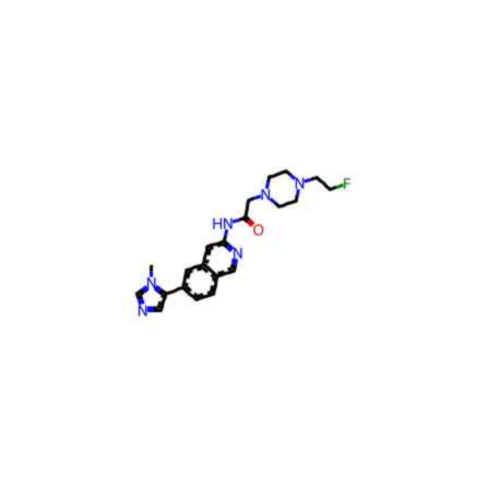 Cn1cncc1-c1ccc2cnc(NC(=O)CN3CCN(CCF)CC3)cc2c1